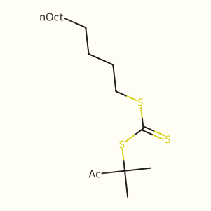 CCCCCCCCCCCCSC(=S)SC(C)(C)C(C)=O